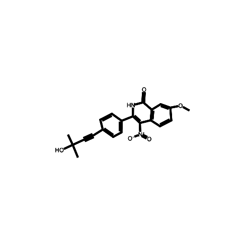 COc1ccc2c([N+](=O)[O-])c(-c3ccc(C#CC(C)(C)O)cc3)[nH]c(=O)c2c1